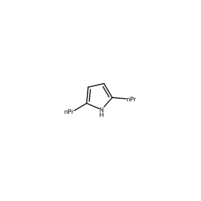 CCCc1ccc(CCC)[nH]1